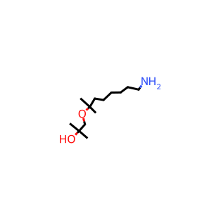 CC(C)(O)COC(C)(C)CCCCCCN